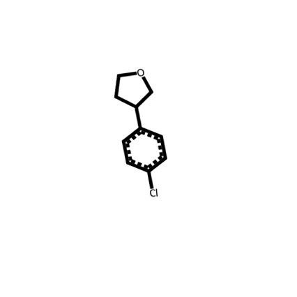 Clc1ccc(C2CCOC2)cc1